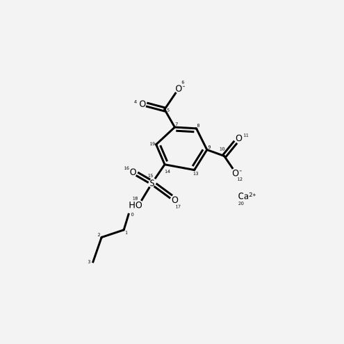 CCCC.O=C([O-])c1cc(C(=O)[O-])cc(S(=O)(=O)O)c1.[Ca+2]